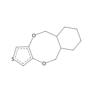 c1scc2c1OCC1CCCCC1CO2